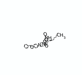 CCCCCC#CC(CS(=O)(=O)N1CCN(c2ccc(OCc3ccccc3)cc2)CC1)ONC=O